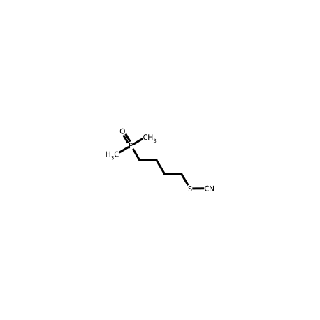 CP(C)(=O)CCCCSC#N